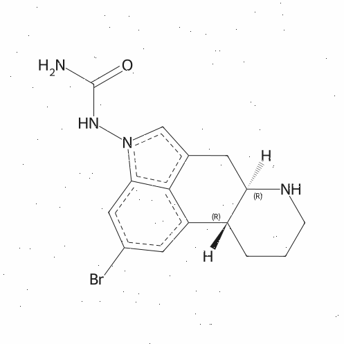 NC(=O)Nn1cc2c3c(cc(Br)cc31)[C@H]1CCCN[C@@H]1C2